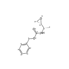 C[C@H](NC(=O)OCc1ccccc1)[C@@H]1CO1